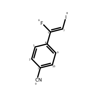 N#Cc1ccc(C(F)=CI)cc1